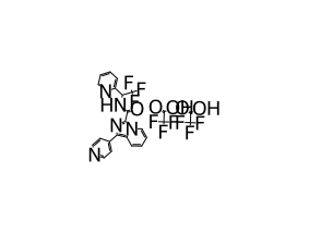 O=C(NC(c1ccccn1)C(F)(F)F)c1nc(-c2ccncc2)c2ccccn12.O=C(O)C(F)(F)F.O=C(O)C(F)(F)F